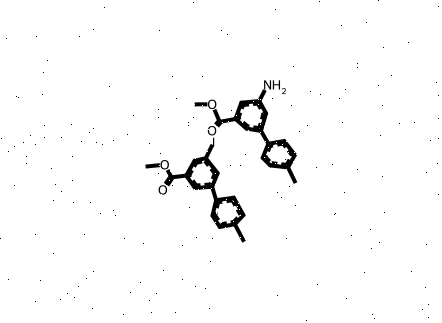 COC(=O)c1cc(I)cc(-c2ccc(C)cc2)c1.COC(=O)c1cc(N)cc(-c2ccc(C)cc2)c1